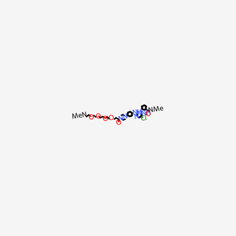 CNCCOCCOCCOCCOCCC(=O)N1CCN(c2ccc(Nc3ncc(Cl)c(Nc4ccccc4C(=O)NC)n3)cc2)CC1